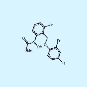 CCc1ccc(OCc2c(Br)cccc2N(O)C(=O)OC)c(CC)c1